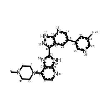 CN1CCN(c2ccnc3[nH]c(-c4n[nH]c5ncc(-c6cncc(F)c6)cc45)nc23)CC1